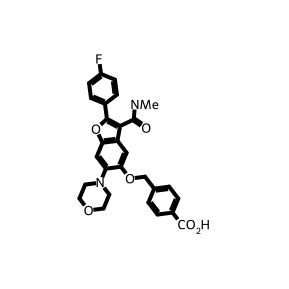 CNC(=O)c1c(-c2ccc(F)cc2)oc2cc(N3CCOCC3)c(OCc3ccc(C(=O)O)cc3)cc12